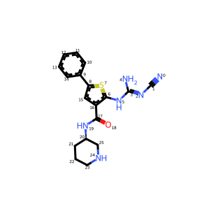 N#C/N=C(\N)Nc1sc(-c2ccccc2)cc1C(=O)N[C@@H]1CCCNC1